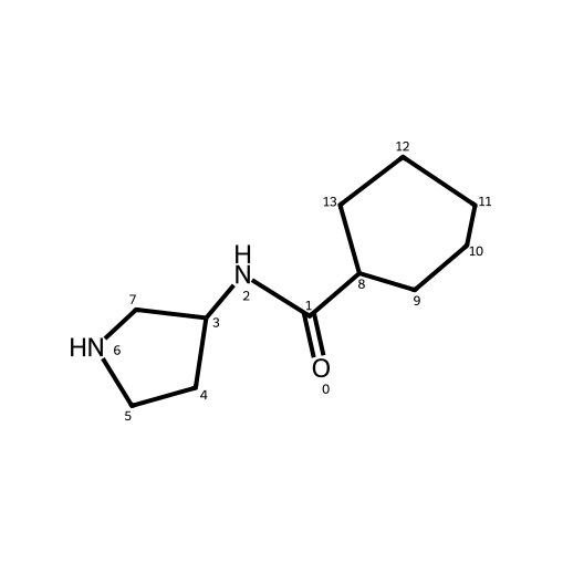 O=C(NC1CCNC1)C1CCCCC1